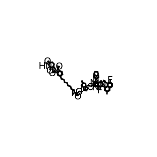 C#Cc1c(F)ccc2cc(C)cc(-c3ncc4c(N5CC6CCC(C5)N6)nc(OC[C@@]56CC[C@@H](COC(=O)N(C)CCCCCCCCc7ccc8c(c7)C(=O)N(C7CCC(=O)NC7=O)C8=O)N5CC(=C)C6)nc4c3F)c12